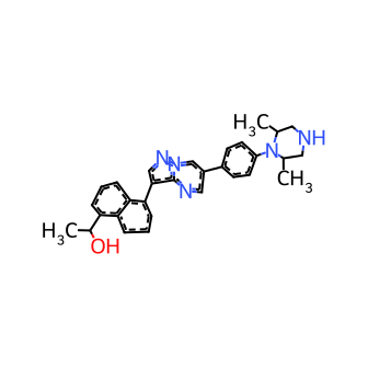 CC(O)c1cccc2c(-c3cnn4cc(-c5ccc(N6C(C)CNCC6C)cc5)cnc34)cccc12